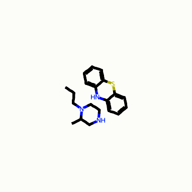 CCCN1CCNCC1C.c1ccc2c(c1)Nc1ccccc1S2